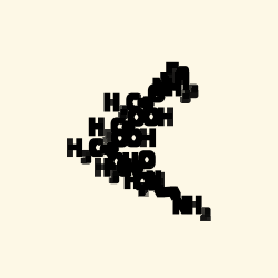 CC(=O)O.CC(=O)O.CC(=O)O.CC(=O)O.N.N.NCCN.[Fe]